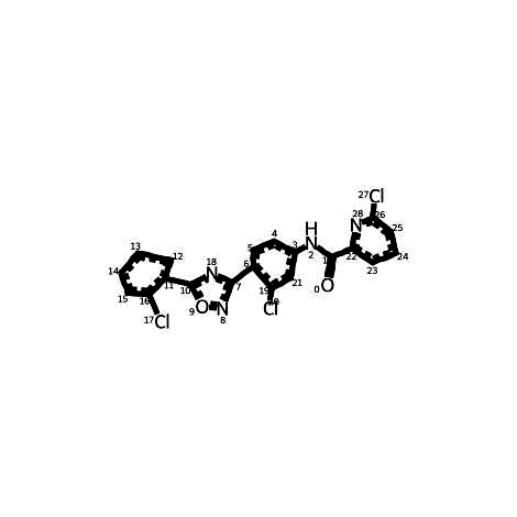 O=C(Nc1ccc(-c2noc(-c3ccccc3Cl)n2)c(Cl)c1)c1cccc(Cl)n1